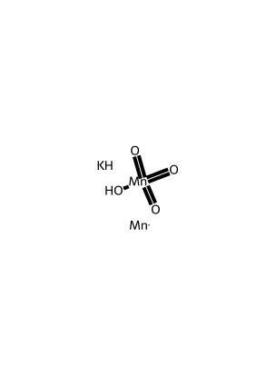 [KH].[Mn].[O]=[Mn](=[O])(=[O])[OH]